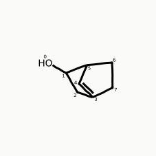 OC1CC2=CC1CC2